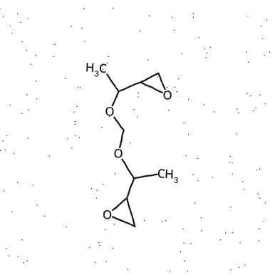 CC(OCOC(C)C1CO1)C1CO1